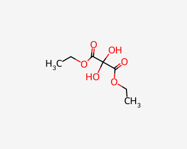 CCOC(=O)C(O)(O)C(=O)OCC